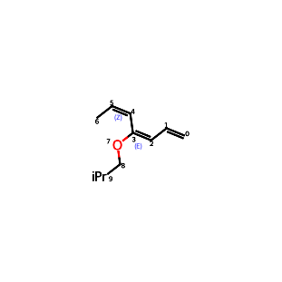 C=C/C=C(\C=C/C)OCC(C)C